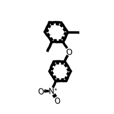 Cc1cccc(C)c1Oc1ccc([N+](=O)[O-])cc1